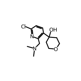 CN(C)Cc1nc(Cl)ccc1C1(O)CCOCC1